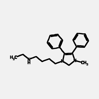 CCNCCCCN1CN(C)C(c2ccccc2)=C1c1ccccc1